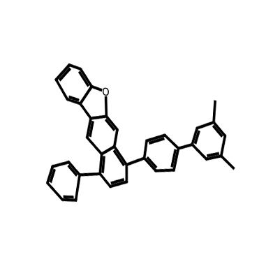 Cc1cc(C)cc(-c2ccc(-c3ccc(-c4ccccc4)c4cc5c(cc34)oc3ccccc35)cc2)c1